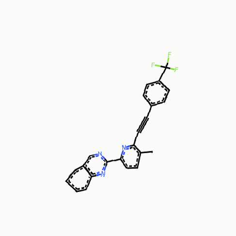 Cc1ccc(-c2ncc3ccccc3n2)nc1C#Cc1ccc(C(F)(F)F)cc1